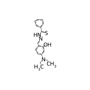 CCN(CC)c1ccc(/C=N/NC(=S)c2ccccc2)c(O)c1